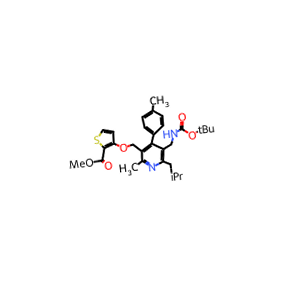 COC(=O)c1sccc1OCc1c(C)nc(CC(C)C)c(CNC(=O)OC(C)(C)C)c1-c1ccc(C)cc1